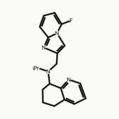 CC(C)N(Cc1cn2c(F)cccc2n1)C1CCCc2cccnc21